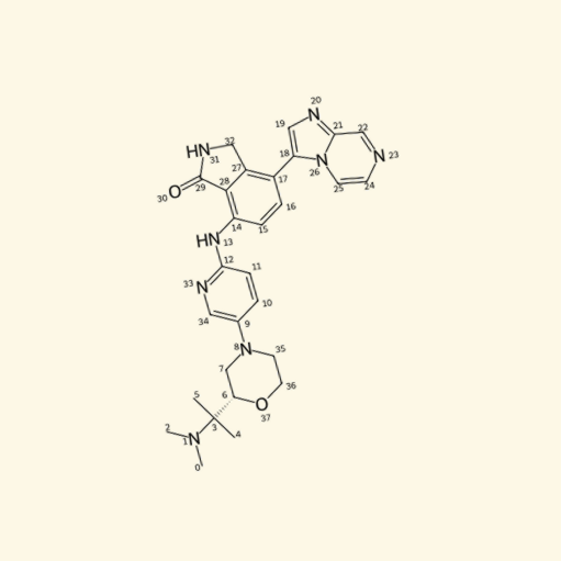 CN(C)C(C)(C)[C@@H]1CN(c2ccc(Nc3ccc(-c4cnc5cnccn45)c4c3C(=O)NC4)nc2)CCO1